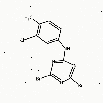 Cc1ccc(Nc2nc(Br)nc(Br)n2)cc1Cl